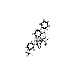 C[SiH](C)[Zr]([Cl])([Cl])([NH]C(=O)c1cccc(C(C)(C)C)c1)[c]1cccc2c1Cc1ccccc1-2